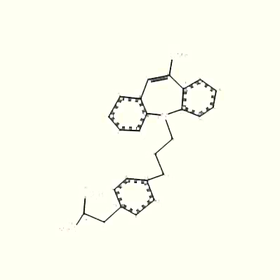 COC1=Cc2ccccc2N(CCCc2ccc(CC(OC)C(=O)O)cc2)c2ccccc21